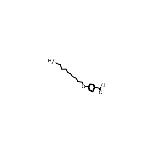 CCCCCCCCCCCOc1ccc(C(=O)Cl)cc1